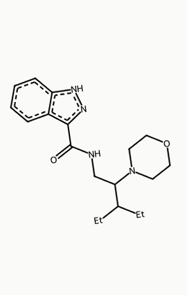 CCC(CC)C(CNC(=O)c1n[nH]c2ccccc12)N1CCOCC1